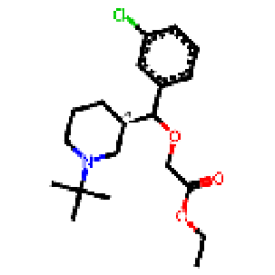 CCOC(=O)COC(c1cccc(Cl)c1)[C@@H]1CCCN(C(C)(C)C)C1